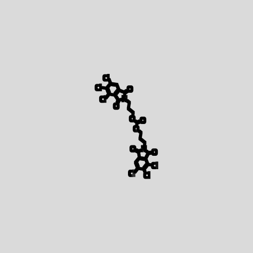 O=C(OCCCN1C(=O)c2cc(Cl)c(Cl)c(Cl)c2C1=O)OCCCN1C(=O)c2cc(Cl)c(Cl)c(Cl)c2C1=O